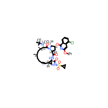 CC(C)Oc1cc2c(Cl)cccc2c(O[C@@H]2C[C@H]3C(=O)N[C@]4(C(=O)NS(=O)(=O)C5CC5)C[C@H]4/C=C\CC[C@@H](C)C[C@@H](C)[C@H](N(C(=O)O)C(C)(C)C(F)(F)F)C(=O)N3C2)n1